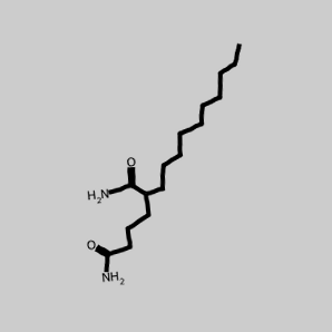 CCCCCCCCCCC(CCCC(N)=O)C(N)=O